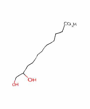 O=C(O)CCCCCCCCC(O)CO